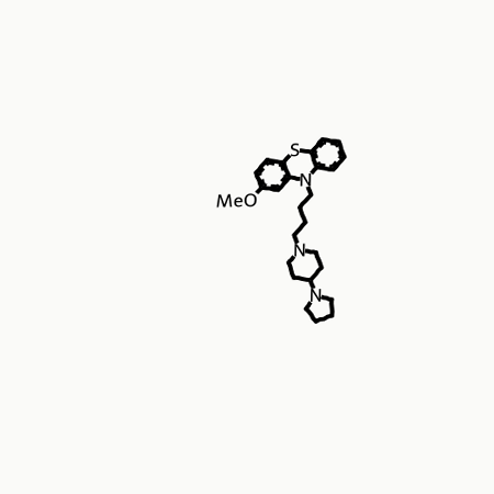 COc1ccc2c(c1)N(CCCCN1CCC(N3CCCC3)CC1)c1ccccc1S2